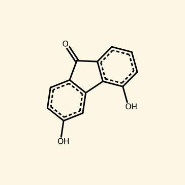 O=C1c2ccc(O)cc2-c2c(O)cccc21